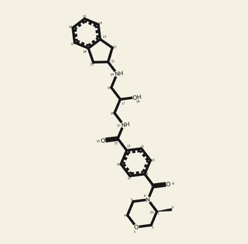 C[C@H]1COCCN1C(=O)c1ccc(C(=O)NCC(O)CNC2Cc3ccccc3C2)cc1